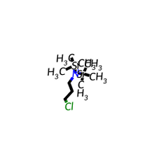 C[Si](C)(C)N(CCCCl)[Si](C)(C)C